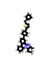 c1ccc(Cc2ccc(-c3ccc(-c4ccc5c6ccccc6n6c7ccccc7nc6c5c4)cc3)s2)cc1